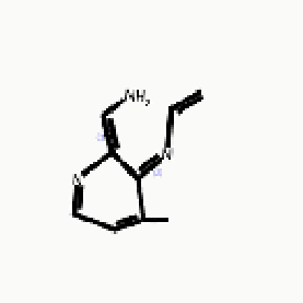 C=C/N=C1/C(C)=CC=N/C1=C/N